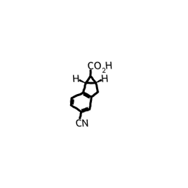 N#Cc1ccc2c(c1)C[C@H]1C(C(=O)O)[C@@H]21